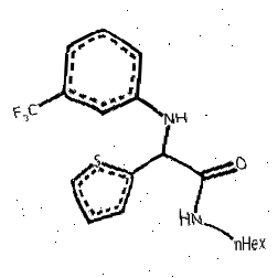 CCCCCCNC(=O)C(Nc1cccc(C(F)(F)F)c1)c1cccs1